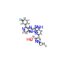 Cn1cc(-c2ccc3[nH]nc(-c4nc5c(-c6cccc(F)c6)nccc5[nH]4)c3n2)c(CO)n1